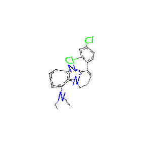 CCN(CC)c1cccc2nc3n(c12)CCC=C3c1ccc(Cl)cc1Cl